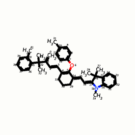 C=C(/C=C/C1=C(Oc2ccc(C)cc2)C(=C/C=C2/N(C)c3ccccc3C2(C)C)/CCC1)C(C)(C)c1ccccc1C